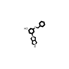 Cl.c1ccc(COc2cccc(N3CC4CNCC4C3)c2)cc1